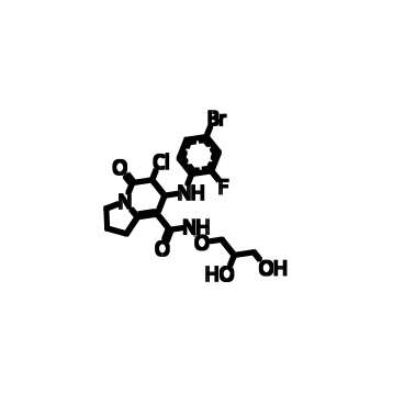 O=C(NOCC(O)CO)C1=C2CCCN2C(=O)C(Cl)C1Nc1ccc(Br)cc1F